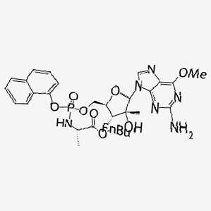 CCCCOC(=O)[C@H](C)NP(=O)(OC[C@H]1OC(n2cnc3c(OC)nc(N)nc32)[C@](C)(O)[C@@H]1F)Oc1cccc2ccccc12